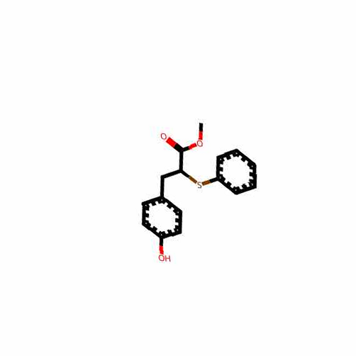 COC(=O)C(Cc1ccc(O)cc1)Sc1ccccc1